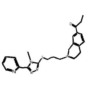 CCC(=O)c1ccc2c(c1)CN(CCCSc1nnc(-c3ccccn3)n1C)CC2